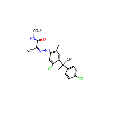 Cc1cc(C(C)(C#N)c2ccc(Cl)cc2)c(Cl)cc1NN=C(C#N)C(=O)NC(=O)O